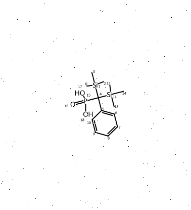 C[Si](C)(C)C(c1ccccc1)([Si](C)(C)C)P(=O)(O)O